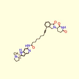 CN1CCC[C@@H]1c1cc2cnc(NC(=O)CCCCCCC#Cc3cccc4c3CN(C3CCC(=O)NC3=O)C4=O)cc2[nH]1